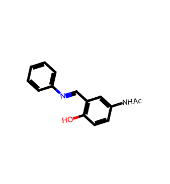 CC(=O)Nc1ccc(O)c(/C=N/c2ccccc2)c1